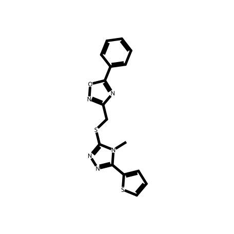 Cn1c(SCc2noc(-c3ccccc3)n2)nnc1-c1cccs1